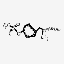 CC(=O)N[C@@H](C)Cc1ccc(OS(=O)(=O)C(F)(F)F)cc1